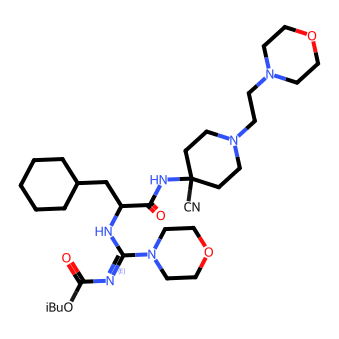 CC(C)COC(=O)/N=C(\NC(CC1CCCCC1)C(=O)NC1(C#N)CCN(CCN2CCOCC2)CC1)N1CCOCC1